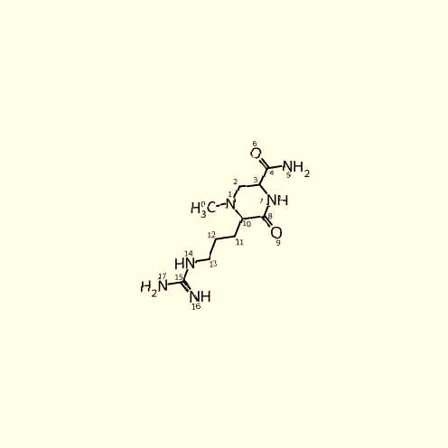 CN1CC(C(N)=O)NC(=O)C1CCCNC(=N)N